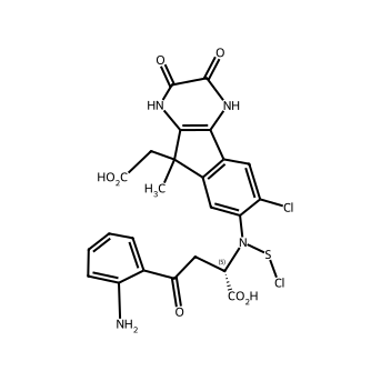 CC1(CC(=O)O)c2cc(N(SCl)[C@@H](CC(=O)c3ccccc3N)C(=O)O)c(Cl)cc2-c2[nH]c(=O)c(=O)[nH]c21